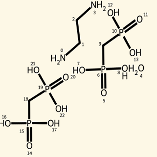 NCCN.O.O=P(O)(O)CP(=O)(O)O.O=P(O)(O)CP(=O)(O)O